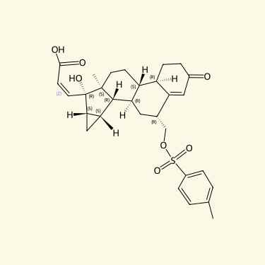 Cc1ccc(S(=O)(=O)OC[C@@H]2C[C@@H]3[C@H](CC[C@@]4(C)[C@H]3[C@@H]3C[C@@H]3[C@@]4(O)/C=C\C(=O)O)[C@H]3CCC(=O)C=C23)cc1